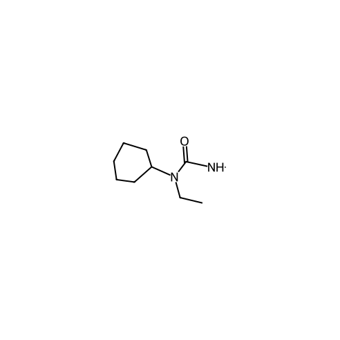 CCN(C([NH])=O)C1CCCCC1